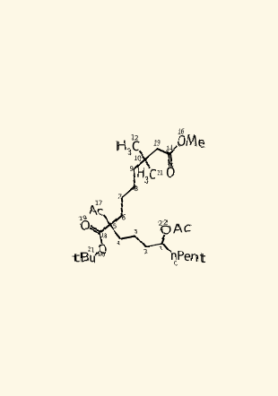 CCCCCC(CCCC(CCCCC(C)(C)CC(=O)OC)(C(C)=O)C(=O)OC(C)(C)C)OC(C)=O